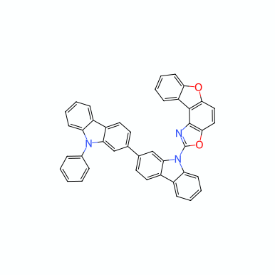 c1ccc(-n2c3ccccc3c3ccc(-c4ccc5c6ccccc6n(-c6nc7c(ccc8oc9ccccc9c87)o6)c5c4)cc32)cc1